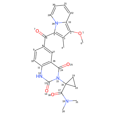 COc1c(C)c(C(=O)c2ccc3[nH]c(=O)n(C4(C(=O)N(C)C)CC4)c(=O)c3c2)n2ccccc12